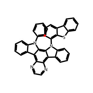 c1ccc(-n2c3ccccc3c3c4nccnc4c4c5ccccc5n(-c5cccc6c5sc5ccccc56)c4c32)cc1